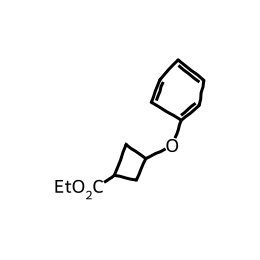 CCOC(=O)C1CC(Oc2ccccc2)C1